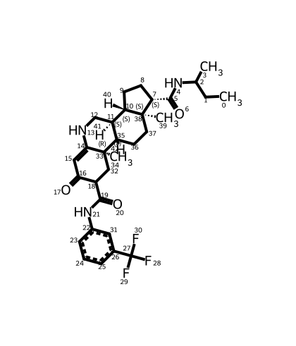 CCC(C)NC(=O)[C@H]1CC[C@H]2[C@@H]3CNC4=CC(=O)C(C(=O)Nc5cccc(C(F)(F)F)c5)C[C@]4(C)[C@H]3CC[C@]12C